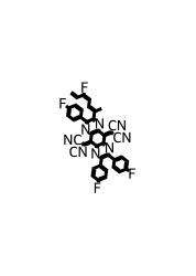 C=C/C(F)=C\C=C(/C)c1nc2c(=C(C#N)C#N)c3nc(-c4ccc(F)cc4)c(-c4ccc(F)cc4)nc3c(=C(C#N)C#N)c2nc1-c1ccc(F)cc1